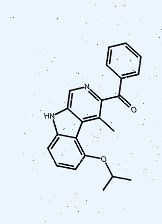 Cc1c(C(=O)c2ccccc2)ncc2[nH]c3cccc(OC(C)C)c3c12